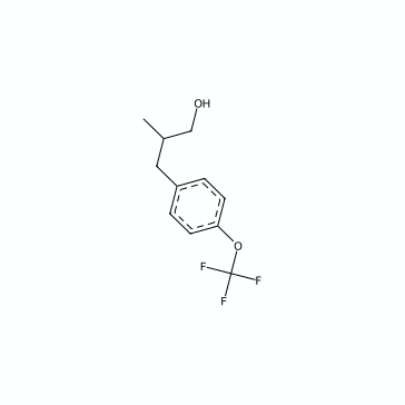 CC(CO)Cc1ccc(OC(F)(F)F)cc1